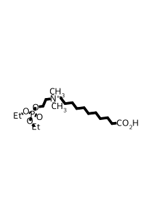 CCOP(=O)(OCC)OCC[N+](C)(C)CCCCCCCCCCC(=O)O